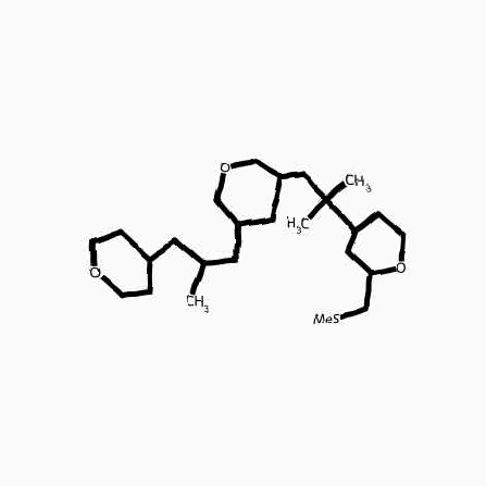 CSCC1CC(C(C)(C)CC2COCC(CC(C)CC3CCOCC3)C2)CCO1